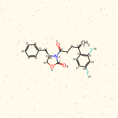 C=C(CCC(=O)N1C(=O)OC[C@H]1Cc1ccccc1)c1ccc(F)cc1F